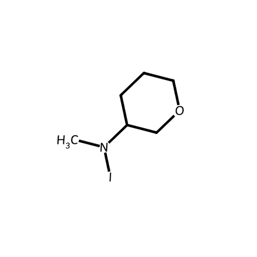 CN(I)C1CCCOC1